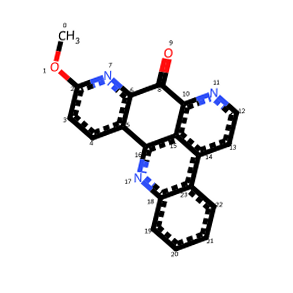 COc1ccc2c(n1)C(=O)c1nccc3c1c-2nc1ccccc13